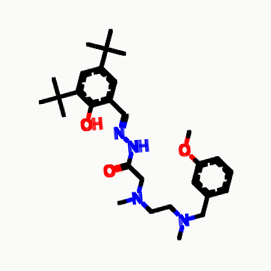 COc1cccc(CN(C)CCN(C)CC(=O)NN=Cc2cc(C(C)(C)C)cc(C(C)(C)C)c2O)c1